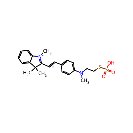 CN(CCSS(=O)(=O)O)c1ccc(/C=C/C2=[N+](C)c3ccccc3C2(C)C)cc1